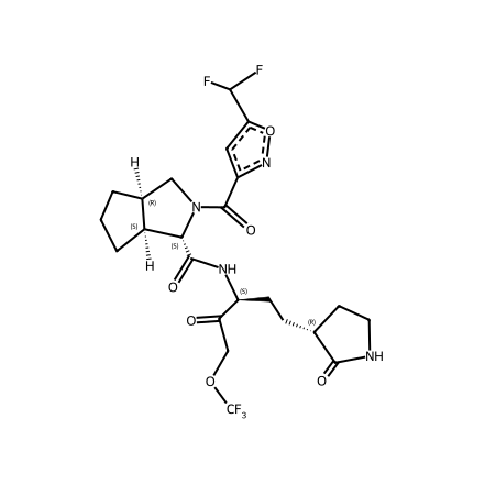 O=C1NCC[C@H]1CC[C@H](NC(=O)[C@@H]1[C@H]2CCC[C@H]2CN1C(=O)c1cc(C(F)F)on1)C(=O)COC(F)(F)F